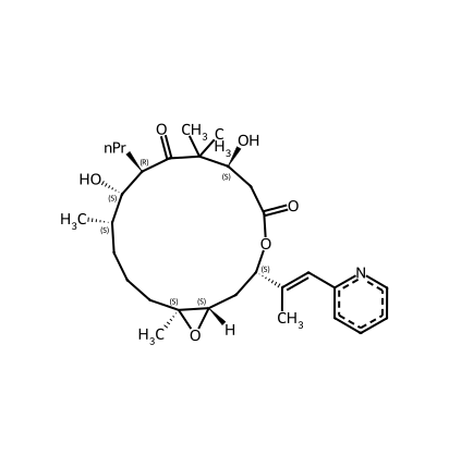 CCC[C@H]1C(=O)C(C)(C)[C@@H](O)CC(=O)O[C@H](C(C)=Cc2ccccn2)C[C@@H]2O[C@@]2(C)CCC[C@H](C)[C@@H]1O